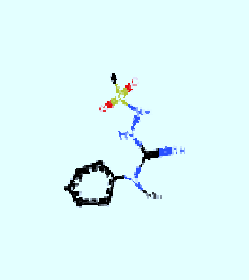 CCCCN(C(=N)NNS(C)(=O)=O)c1ccccc1